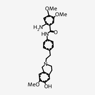 COc1cc2c(cc1O)CCN(CCc1ccc(NC(=O)c3cc(OC)c(OC)cc3N)cc1)C2